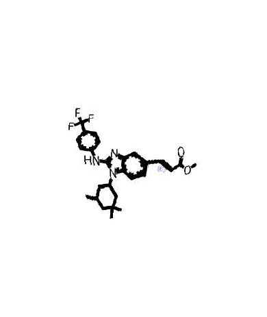 COC(=O)/C=C/c1ccc2c(c1)nc(Nc1ccc(C(F)(F)F)cc1)n2C1CC(C)CC(C)(C)C1